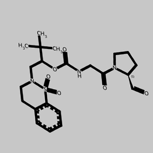 CC(C)(C)C(CN1CCc2ccccc2S1(=O)=O)OC(=O)NCC(=O)N1CCC[C@H]1C=O